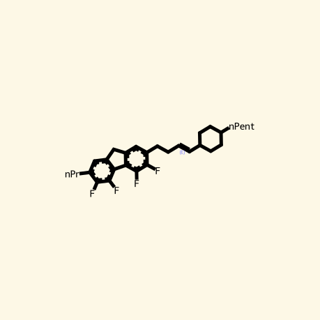 CCCCCC1CCC(/C=C/CCc2cc3c(c(F)c2F)-c2c(cc(CCC)c(F)c2F)C3)CC1